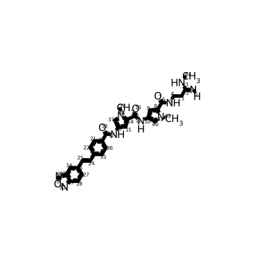 [H]/N=C(\CCNC(=O)c1cc(NC(=O)c2cc(NC(=O)c3ccc(C=Cc4ccc5nonc5c4)cc3)cn2C)cn1C)NC